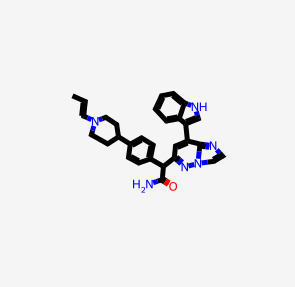 CC=CN1CCC(c2ccc(C(C(N)=O)c3cc(-c4c[nH]c5ccccc45)c4nccn4n3)cc2)CC1